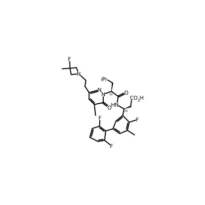 Cc1cc(-c2c(F)cccc2F)cc([C@H](CC(=O)O)NC(=O)[C@H](CC(C)C)n2nc(CCN3CC(C)(F)C3)cc(C)c2=O)c1F